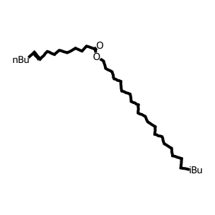 CCCCC=CCCCCCCCC(=O)OCCCCCCCCCCCCCCCCCCCCC(C)CC